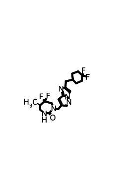 C[C@@H]1CNC(=O)N(Cc2cnn3cc(CC4CCC(F)(F)CC4)nc3c2)CC1(F)F